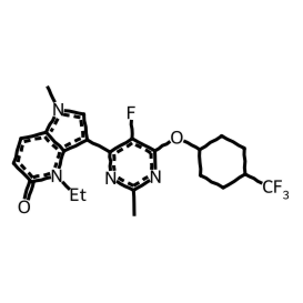 CCn1c(=O)ccc2c1c(-c1nc(C)nc(OC3CCC(C(F)(F)F)CC3)c1F)cn2C